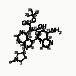 CN1CCC(n2cc(-c3ccc(N)c4nccn34)c3c(N(C(=O)O)C(=O)OC(C)(C)C)ncnc32)C1